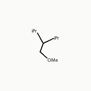 COCC(C(C)C)C(C)C